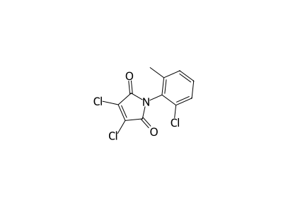 Cc1cccc(Cl)c1N1C(=O)C(Cl)=C(Cl)C1=O